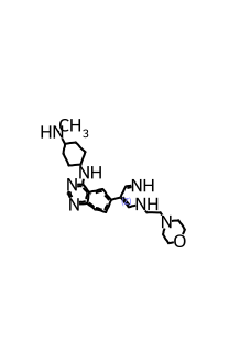 CNC1CCC(Nc2ncnc3ccc(/C(C=N)=C/NCCN4CCOCC4)cc23)CC1